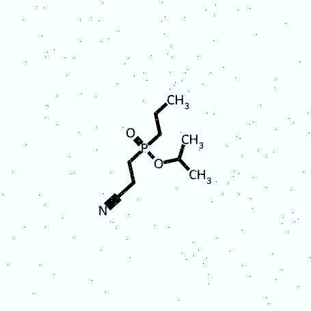 CCCP(=O)(CCC#N)OC(C)C